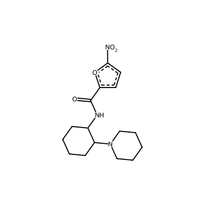 O=C(NC1CCCCC1N1CCCCC1)c1ccc([N+](=O)[O-])o1